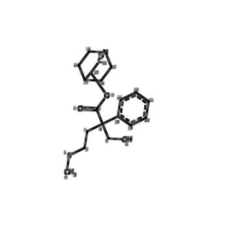 CSCCC(CO)(C(=O)OC1CN2CCC1CC2)c1ccccc1